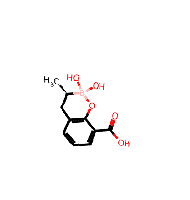 C[C@@H]1Cc2cccc(C(=O)O)c2O[B-]1(O)O